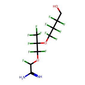 N=C(N)C(F)OC(F)(F)C(F)(OC(F)(F)C(F)(F)C(F)(F)CO)C(F)(F)F